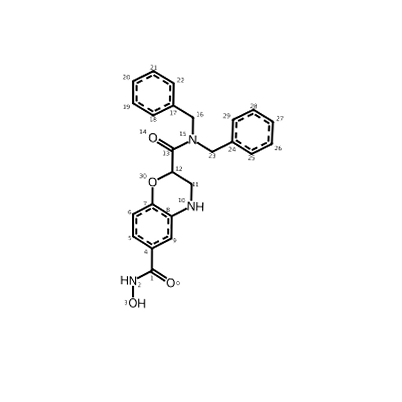 O=C(NO)c1ccc2c(c1)NCC(C(=O)N(Cc1ccccc1)Cc1ccccc1)O2